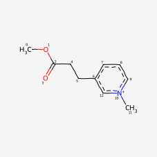 COC(=O)CCc1ccc[n+](C)c1